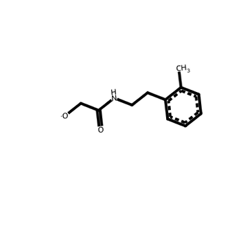 Cc1ccccc1CCNC(=O)C[O]